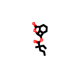 CCCC(C)(CC)C(=O)OC1C2CCCC3C(=O)OC1C32